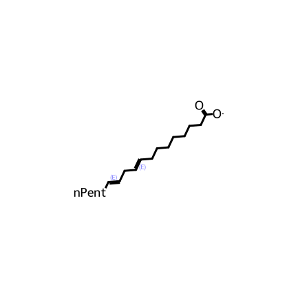 CCCCC/C=C/C/C=C/CCCCCCCC([O])=O